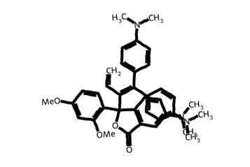 C=CC(=C(c1ccc(N(C)C)cc1)c1ccc(N(C)C)cc1)C1(c2ccc(OC)cc2OC)OC(=O)c2cc(N(C)C)ccc21